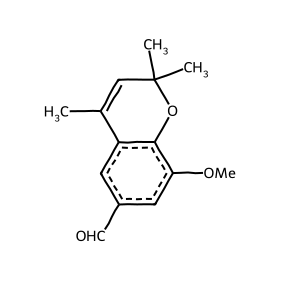 COc1cc(C=O)cc2c1OC(C)(C)C=C2C